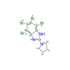 Brc1c(Br)c(Br)c2[nH]c(N3CCCC3)nc2c1Br